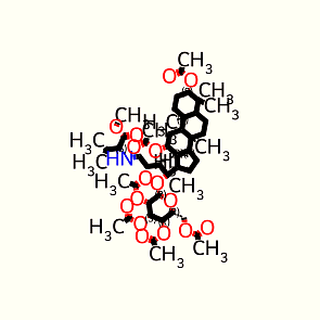 COC(=O)[C@@H](NCCCC(C)(O[C@H]1O[C@H](COC(C)=O)[C@@H](OC(C)=O)[C@H](OC(C)=O)C1OC(C)=O)C1CC[C@]2(C)[C@@H]1C(OC(C)=O)CC1[C@@]3(C)CC[C@H](OC(C)=O)C(C)(C)C3CC[C@]12C)C(C)C